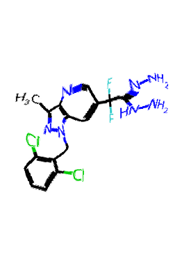 Cc1nn(Cc2c(Cl)cccc2Cl)c2cc(C(F)(F)/C(=N/N)NN)cnc12